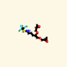 FC(F)(F)SNCCCC(COCC1CO1)OCC1CO1